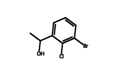 CC(O)c1cccc(Br)c1Cl